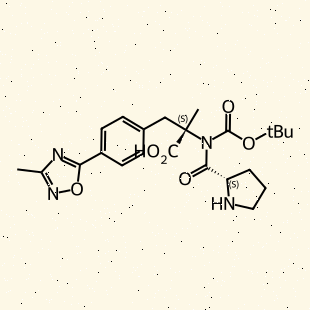 Cc1noc(-c2ccc(C[C@@](C)(C(=O)O)N(C(=O)OC(C)(C)C)C(=O)[C@@H]3CCCN3)cc2)n1